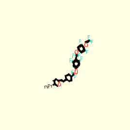 CCCC1CCC(/C=C/C2CCC(C(F)(F)Oc3cc(F)c(C(F)(F)Oc4cc(F)c(OC=C(F)F)c(F)c4)c(F)c3)CC2)OC1